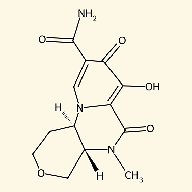 CN1C(=O)c2c(O)c(=O)c(C(N)=O)cn2[C@@H]2CCOC[C@H]21